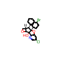 O[C@]12c3ncc(Cl)cc3O[C@@]1(c1ccc(Br)cc1)[C@H](c1ccccc1)[C@H]1COC12